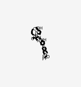 CC1(O)CCC=CCn2c(=O)c3cnc(Nc4ccc(N5CCC6(CCN(C(=O)C(F)(F)F)CC6)CC5)cc4)nc3n2-c2cccc1n2